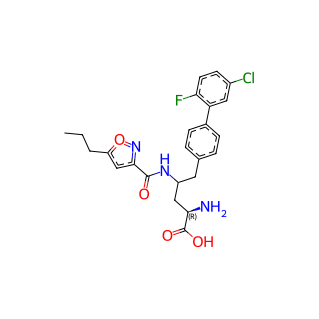 CCCc1cc(C(=O)NC(Cc2ccc(-c3cc(Cl)ccc3F)cc2)C[C@@H](N)C(=O)O)no1